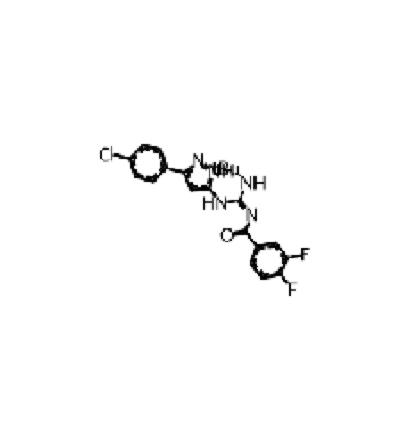 CC(C)(C)N/C(=N/C(=O)c1ccc(F)c(F)c1)Nc1cc(-c2ccc(Cl)cc2)n[nH]1